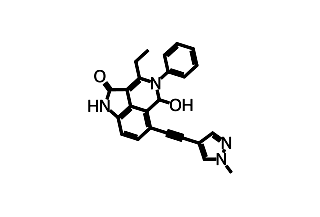 CCC1=C2C(=O)Nc3ccc(C#Cc4cnn(C)c4)c(c32)C(O)N1c1ccccc1